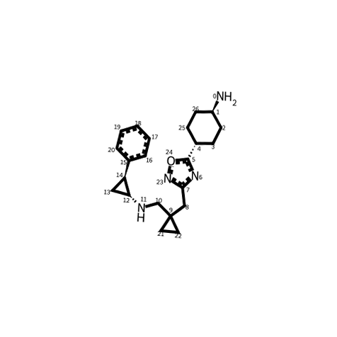 N[C@H]1CC[C@H](c2nc(CC3(CN[C@@H]4C[C@H]4c4ccccc4)CC3)no2)CC1